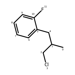 CC(CCl)Cc1ccccc1F